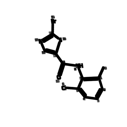 Cc1cccc(Cl)c1NC(=O)c1cnc(Br)s1